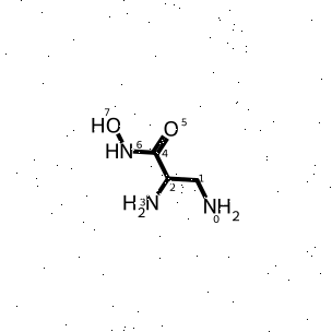 NCC(N)C(=O)NO